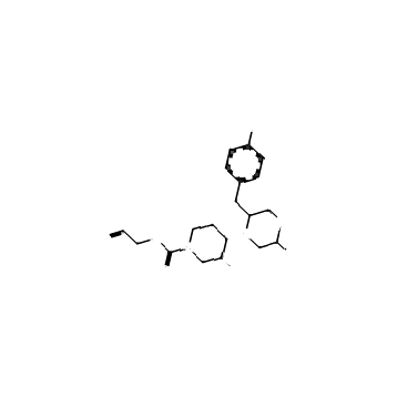 C=CCOC(=O)N1CC[C@H](N2CC(C)OCC2Cc2ccc(Cl)cc2)[C@@H](OC)C1